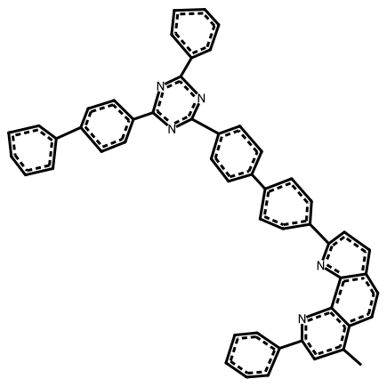 Cc1cc(-c2ccccc2)nc2c1ccc1ccc(-c3ccc(-c4ccc(-c5nc(-c6ccccc6)nc(-c6ccc(-c7ccccc7)cc6)n5)cc4)cc3)nc12